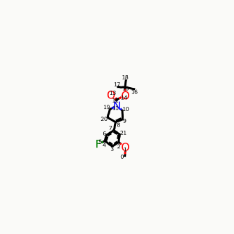 COc1cc(F)cc(C2=CCN(C(=O)OC(C)(C)C)CC2)c1